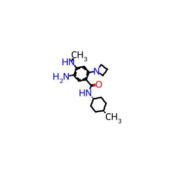 CNc1cc(N2CCC2)c(C(=O)N[C@H]2CC[C@H](C)CC2)cc1N